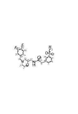 CS(=O)(=O)c1cccc(CC(=O)NCC2CN(Cc3ccc(F)c(F)c3)CCO2)c1